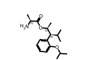 CC(C)Oc1ccccc1[C@H](C(C)C)[C@H](C)OC(=O)[C@H](C)N